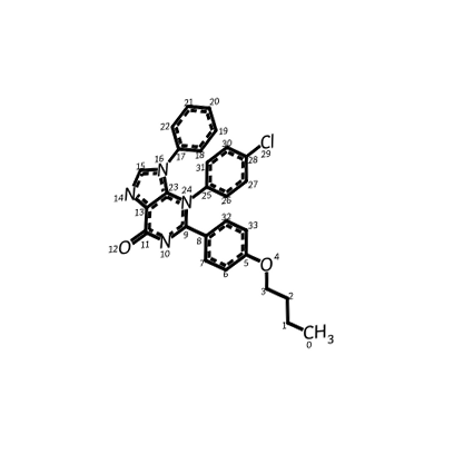 CCCCOc1ccc(-c2nc(=O)c3ncn(-c4ccccc4)c3n2-c2ccc(Cl)cc2)cc1